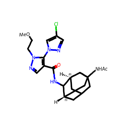 COCCn1ncc(C(=O)NC2[C@@H]3CC4C[C@H]2CC(NC(C)=O)(C4)C3)c1-n1cc(Cl)cn1